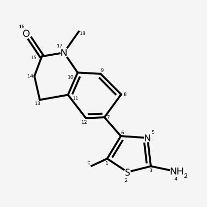 Cc1sc(N)nc1-c1ccc2c(c1)CCC(=O)N2C